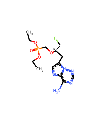 CCOP(=O)(CO[C@H](CF)Cc1cnc2c(N)ncnn12)OCC